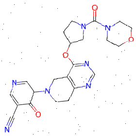 N#CC1=CN=CC(N2CCc3ncnc(OC4CCN(C(=O)N5CCOCC5)C4)c3C2)C1=O